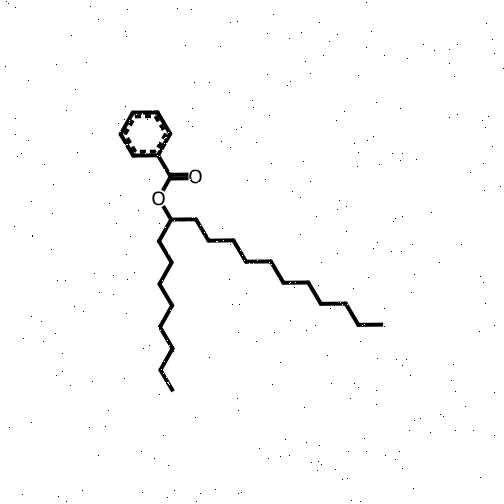 CCCCCCCCCCCC(CCCCCCCC)OC(=O)c1ccccc1